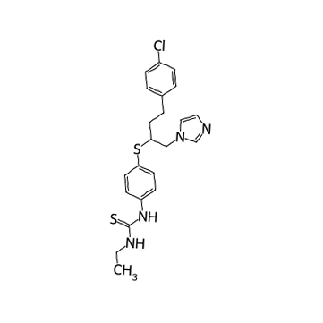 CCNC(=S)Nc1ccc(SC(CCc2ccc(Cl)cc2)Cn2ccnc2)cc1